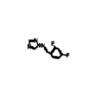 Fc1ccc(/C=N/n2cncn2)c(F)c1